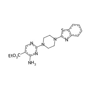 CCOC(=O)c1cnc(N2CCN(c3nc4ccccc4s3)CC2)nc1N